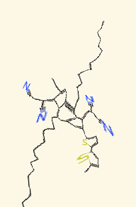 CCCCCCCCCCCCc1c2c(c(CCCCCCCCCCCC)c3c1C(=C(C#N)C#N)C(C)=C3)C(=C(C#N)C#N)C(c1ccc(-c3ccc(C)s3)s1)=C2